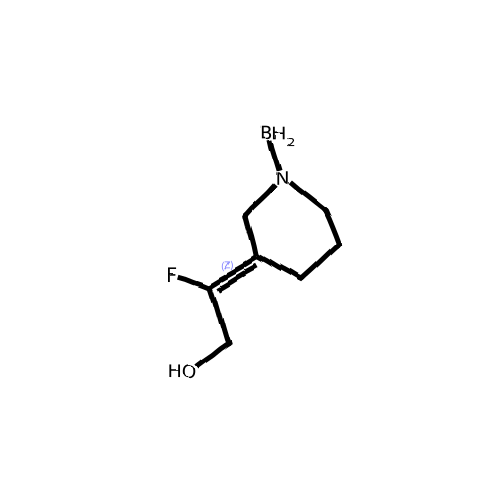 BN1CCC/C(=C(/F)CO)C1